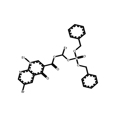 CCC(OC(=O)c1cn(CC)c2ncc(Br)cc2c1=O)OP(=O)(OCc1ccccc1)OCc1ccccc1